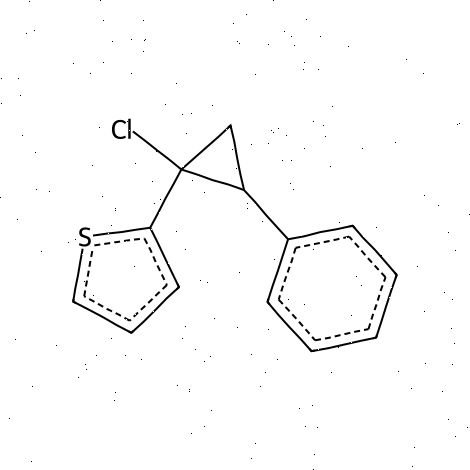 ClC1(c2cccs2)CC1c1ccccc1